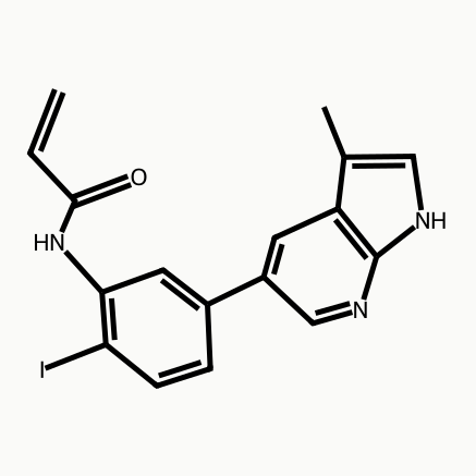 C=CC(=O)Nc1cc(-c2cnc3[nH]cc(C)c3c2)ccc1I